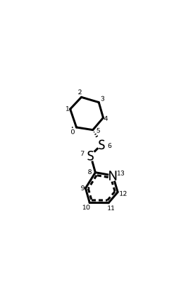 [CH]1CCCC[C@@H]1SSc1ccccn1